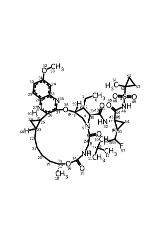 CC[C@@H]1[C@@H]2CN(C(=O)[C@H](C(C)(C)C)NC(=O)O[C@H](C)CCCC[C@@H]3C[C@H]3c3nc4ccc(OC)cc4nc3O2)[C@@H]1C(=O)N[C@]1(C(=O)NS(=O)(=O)C2(C)CC2)C[C@H]1C(F)F